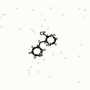 Clc1nccnc1[CH]c1cccnc1